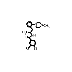 CC(Cc1ccccc1N1CCN(C)CC1)NC(=O)c1ccc(Cl)c(Cl)c1